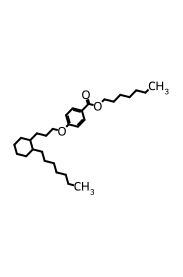 CCCCCCCOC(=O)c1ccc(OCCCC2CCCCC2CCCCCCC)cc1